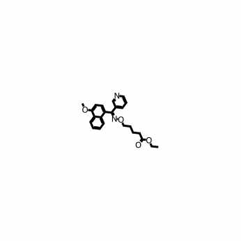 CCOC(=O)CCCCON=C(c1cccnc1)c1ccc(OC)c2ccccc12